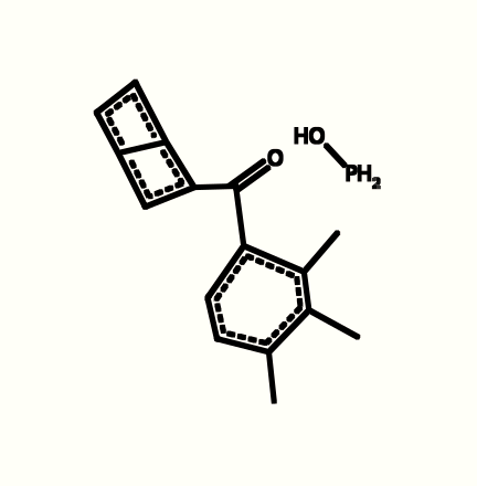 Cc1ccc(C(=O)c2cc3ccc2-3)c(C)c1C.OP